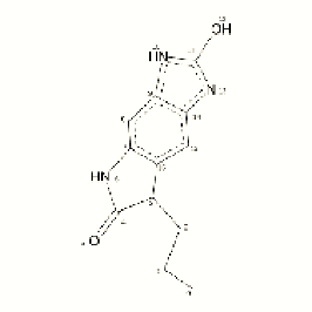 CCCC1C(=O)Nc2cc3[nH]c(O)nc3cc21